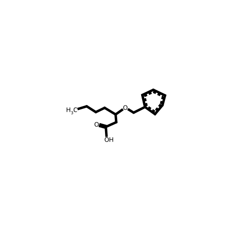 CCCCC(CC(=O)O)OCc1ccccc1